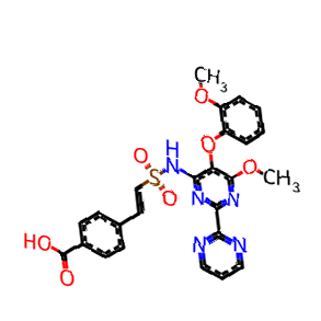 COc1ccccc1Oc1c(NS(=O)(=O)C=Cc2ccc(C(=O)O)cc2)nc(-c2ncccn2)nc1OC